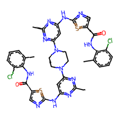 Cc1nc(Nc2ncc(C(=O)Nc3c(C)cccc3Cl)s2)cc(N2CCN(c3cc(Nc4ncc(C(=O)Nc5c(C)cccc5Cl)s4)nc(C)n3)CC2)n1